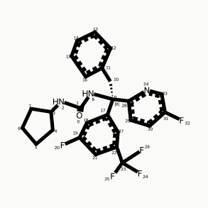 O=C(NC1CCCC1)N[C@](Cc1ccccc1)(c1cc(F)cc(C(F)(F)F)c1)c1ccc(F)cn1